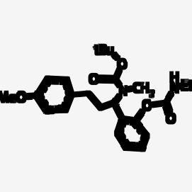 CCNC(=O)Oc1ccccc1C(CCc1ccc(OC)cc1)N(C)C(=O)OC(C)(C)C